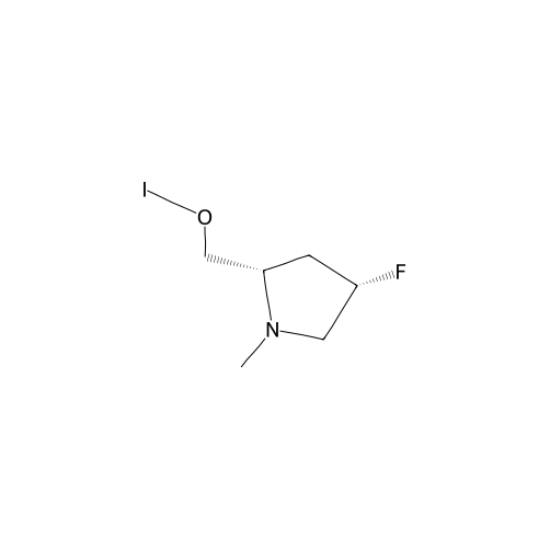 CN1C[C@@H](F)C[C@H]1COI